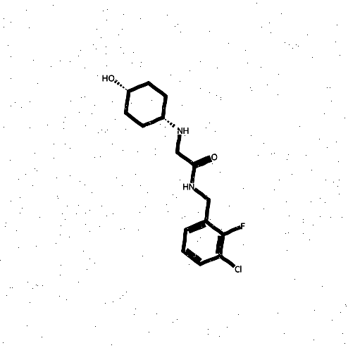 O=C(CN[C@H]1CC[C@@H](O)CC1)NCc1cccc(Cl)c1F